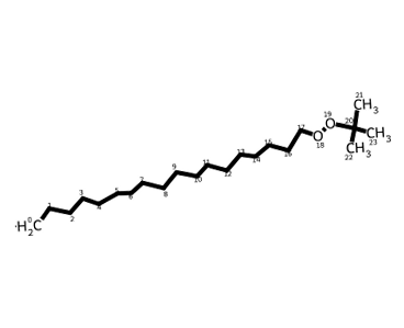 [CH2]CCCCCCCCCCCCCCCCCOOC(C)(C)C